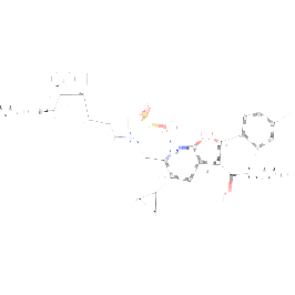 CNC(=O)c1c(-c2ccc(C)cc2)oc2nc(CN(CCCC[C@H](COC)C(=O)O)[SH](=O)=O)c(C3CC3)cc12